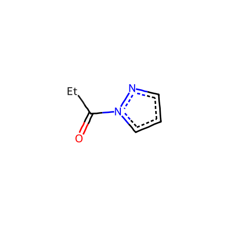 CCC(=O)n1cccn1